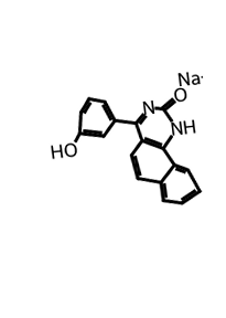 O=c1nc(-c2cccc(O)c2)c2ccc3ccccc3c2[nH]1.[Na]